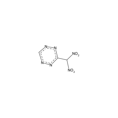 O=[N+]([O-])C(c1nncnn1)[N+](=O)[O-]